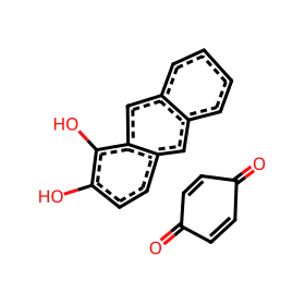 O=C1C=CC(=O)C=C1.Oc1ccc2cc3ccccc3cc2c1O